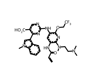 C=CC(=O)Nc1cc(Nc2ncc(C(=O)O)c(-c3cn(C)c4ccccc34)n2)c(OCC(F)(F)F)nc1N(C)CCN(C)C